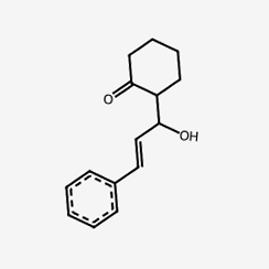 O=C1CCCCC1C(O)C=Cc1ccccc1